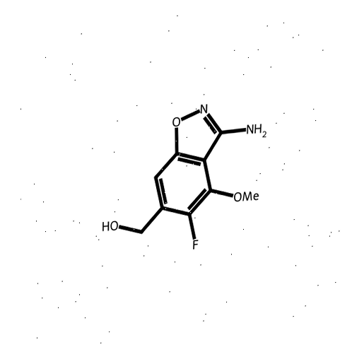 COc1c(F)c(CO)cc2onc(N)c12